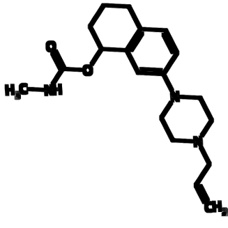 C=CCN1CCN(c2ccc3c(c2)C(OC(=O)NC)CCC3)CC1